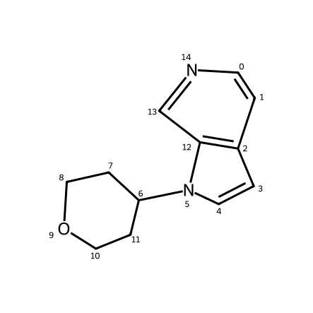 c1cc2ccn(C3CCOCC3)c2cn1